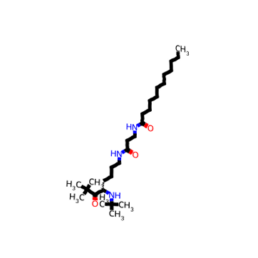 CCCCCCCCCCCC(=O)NCCC(=O)NCCCC[C@H](NC(C)(C)C)C(=O)C(C)(C)C